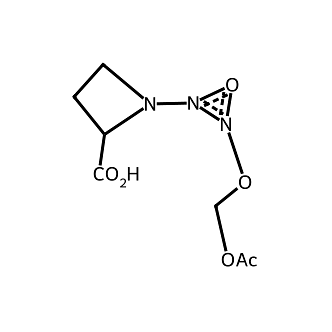 CC(=O)OCOn1on1N1CCC1C(=O)O